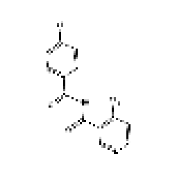 O=C(NC(=O)c1cnccc1C(F)(F)F)c1ccc(Cl)cn1